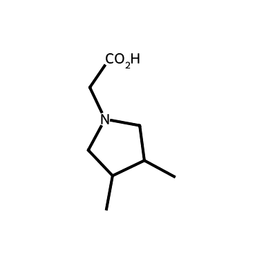 CC1CN(CC(=O)O)CC1C